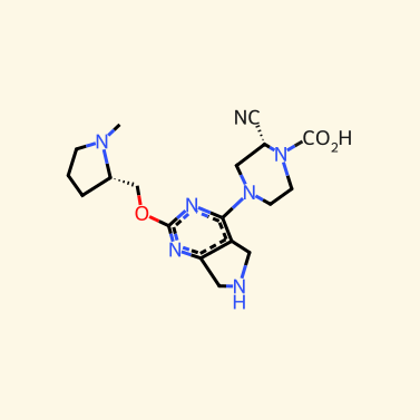 CN1CCC[C@H]1COc1nc2c(c(N3CCN(C(=O)O)[C@@H](C#N)C3)n1)CNC2